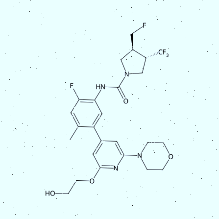 Cc1cc(F)c(NC(=O)N2C[C@@H](CF)[C@H](C(F)(F)F)C2)cc1-c1cc(OCCO)nc(N2CCOCC2)c1